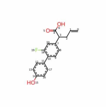 C=CCC(C(=O)O)c1ccc(-c2ccc(O)cc2)c(F)c1